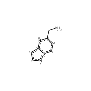 NCc1ccn2nccc2n1